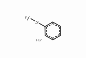 Br.F[C](F)(F)[Zn][c]1ccccc1